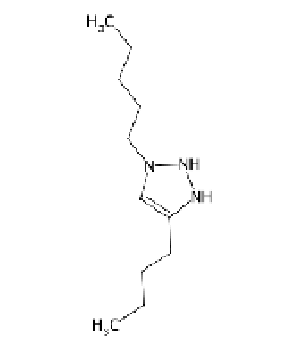 CCCCCN1C=C(CCCC)NN1